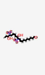 CCC(O)C(C/C=C\CC(O)C(C/C=C\CCCCCC[C]=O)[N+](=O)[O-])[N+](=O)[O-]